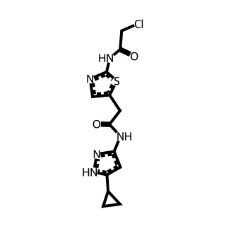 O=C(Cc1cnc(NC(=O)CCl)s1)Nc1cc(C2CC2)[nH]n1